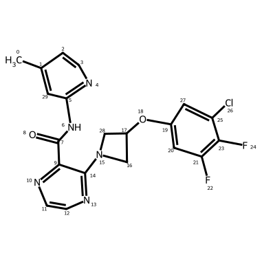 Cc1ccnc(NC(=O)c2nccnc2N2CC(Oc3cc(F)c(F)c(Cl)c3)C2)c1